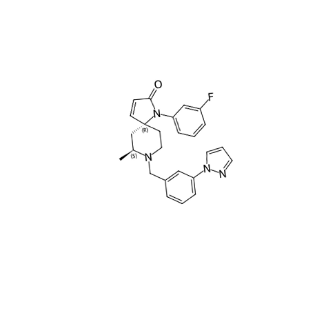 C[C@H]1C[C@@]2(C=CC(=O)N2c2cccc(F)c2)CCN1Cc1cccc(-n2cccn2)c1